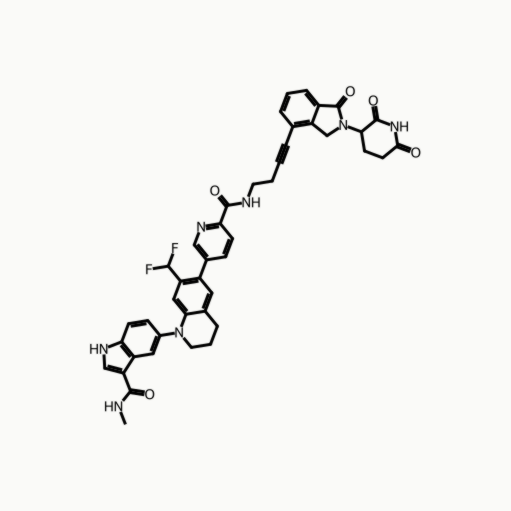 CNC(=O)c1c[nH]c2ccc(N3CCCc4cc(-c5ccc(C(=O)NCCC#Cc6cccc7c6CN(C6CCC(=O)NC6=O)C7=O)nc5)c(C(F)F)cc43)cc12